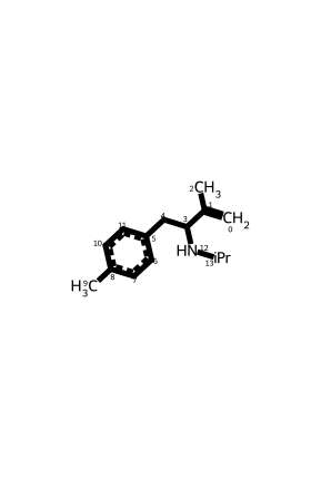 C=C(C)C(Cc1ccc(C)cc1)NC(C)C